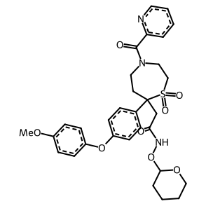 COc1ccc(Oc2ccc(C3(CC(=O)NOC4CCCCO4)CCN(C(=O)c4ccccn4)CCS3(=O)=O)cc2)cc1